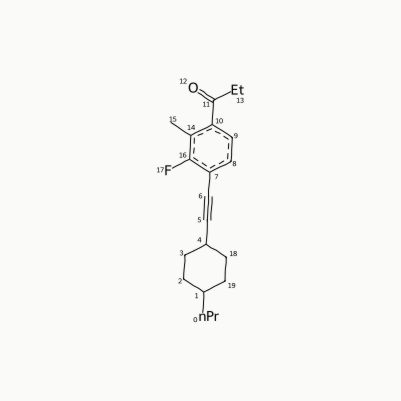 CCCC1CCC(C#Cc2ccc(C(=O)CC)c(C)c2F)CC1